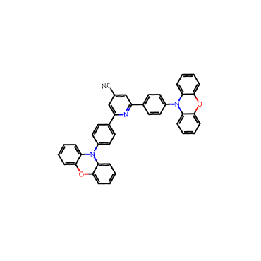 N#Cc1cc(-c2ccc(N3c4ccccc4Oc4ccccc43)cc2)nc(-c2ccc(N3c4ccccc4Oc4ccccc43)cc2)c1